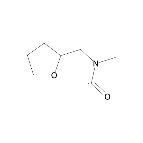 CN([C]=O)CC1CCCO1